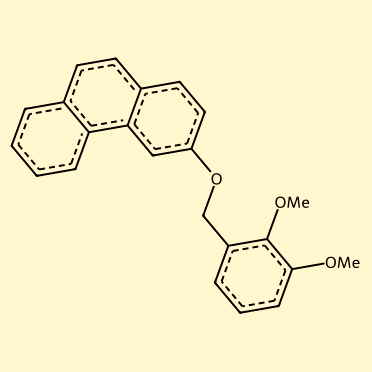 COc1cccc(COc2ccc3ccc4ccccc4c3c2)c1OC